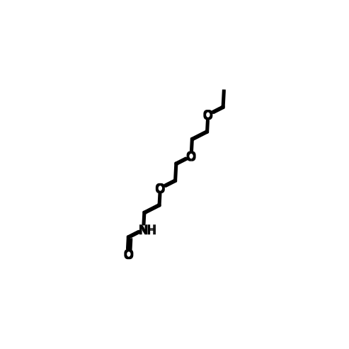 CCOCCOCCOCCNC=O